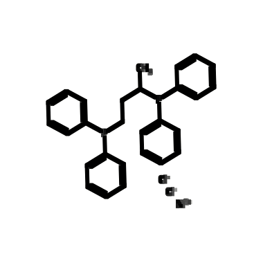 CC(CCP(c1ccccc1)c1ccccc1)P(c1ccccc1)c1ccccc1.[Cl-].[Cl-].[Ni+2]